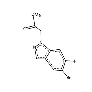 COC(=O)Cn1ncc2cc(Br)c(F)cc21